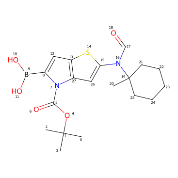 CC(C)(C)OC(=O)n1c(B(O)O)cc2sc(N(C=O)C3(C)CCCCC3)cc21